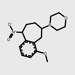 COc1cccc2c1CC(N1CCOCC1)CCC2[N+](=O)[O-]